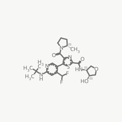 C[C@H]1CCCN1C(=O)c1nc(C(=O)N[C@H]2COC[C@H]2O)sc1-c1cnc(NC(C)(C)C)cc1C(F)F